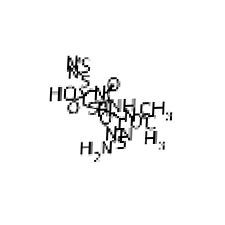 CC(C)ON=C(C(=O)NC1C(=O)N2CC(CSc3nncs3)(C(=O)O)CS[C@H]12)c1nsc(N)n1